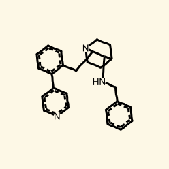 c1ccc(CNC2C3CCN(CC3)C2Cc2ccccc2-c2ccncc2)cc1